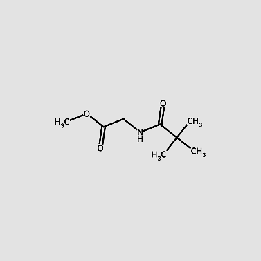 COC(=O)CNC(=O)C(C)(C)C